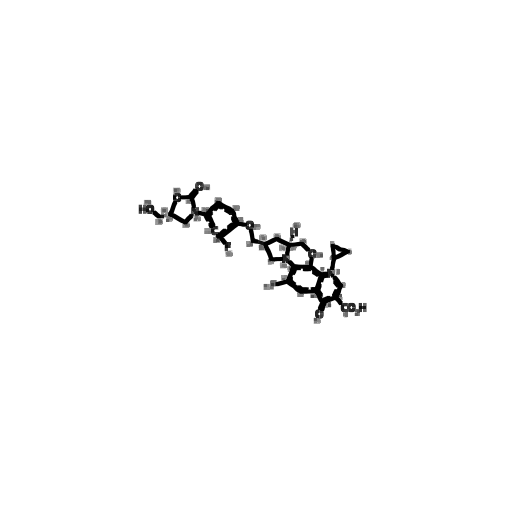 O=C(O)c1cn(C2CC2)c2c3c(c(F)cc2c1=O)N1C[C@@H](COc2ccc(N4C[C@H](CO)OC4=O)cc2F)C[C@H]1CO3